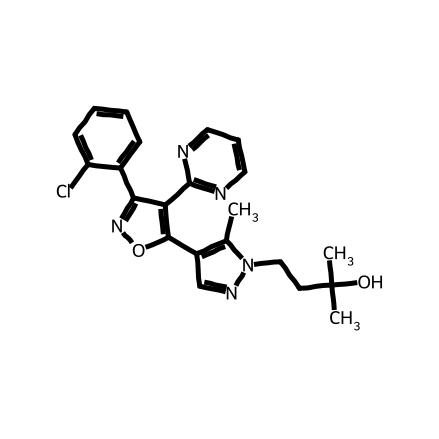 Cc1c(-c2onc(-c3ccccc3Cl)c2-c2ncccn2)cnn1CCC(C)(C)O